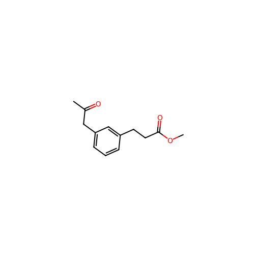 COC(=O)CCc1cccc(CC(C)=O)c1